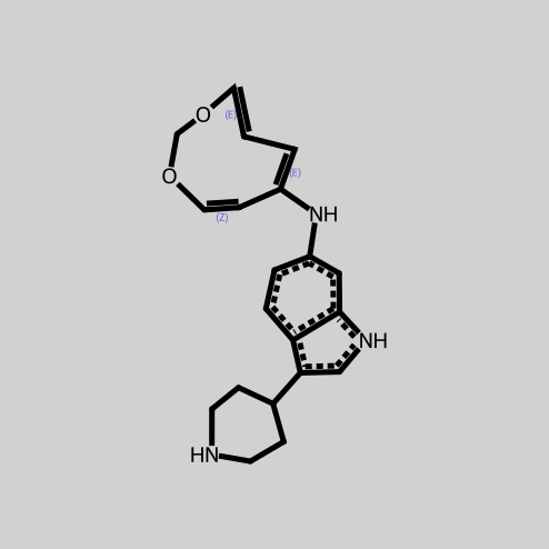 C1=C/C(Nc2ccc3c(C4CCNCC4)c[nH]c3c2)=C\C=C\OCO\1